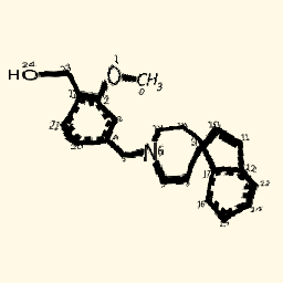 COc1cc(CN2CCC3(C=Cc4ccccc43)CC2)ccc1CO